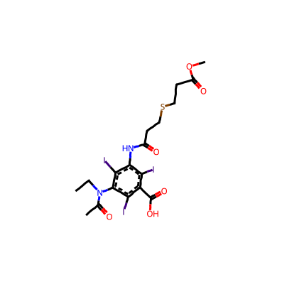 CCN(C(C)=O)c1c(I)c(NC(=O)CCSCCC(=O)OC)c(I)c(C(=O)O)c1I